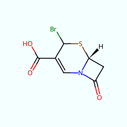 O=C(O)C1=CN2C(=O)C[C@H]2SC1Br